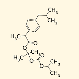 CC(C)Cc1ccc(C(C)C(=O)OC(C)(C)OC(=O)OC(C)C)cc1